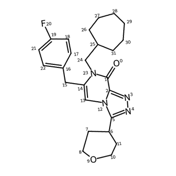 O=c1c2nnc(C3CCOCC3)n2cc(Cc2ccc(F)cc2)n1CC1CCCCCC1